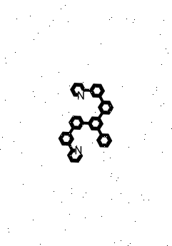 c1ccc(-c2cc(-c3cccc(-c4cccc(-c5ccccn5)c4)c3)cc(-c3cccc(-c4cccc(-c5ccccn5)c4)c3)c2)cc1